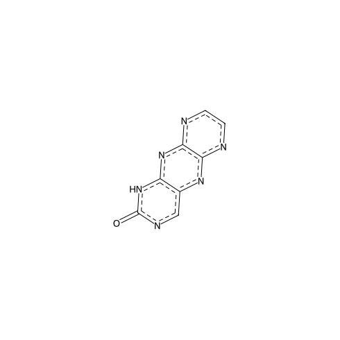 O=c1ncc2nc3nccnc3nc2[nH]1